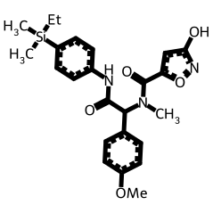 CC[Si](C)(C)c1ccc(NC(=O)C(c2ccc(OC)cc2)N(C)C(=O)c2cc(O)no2)cc1